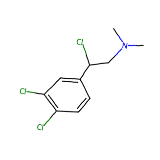 CN(C)CC(Cl)c1ccc(Cl)c(Cl)c1